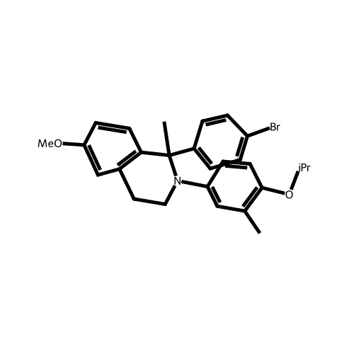 COc1ccc2c(c1)CCN(c1ccc(OC(C)C)c(C)c1)C2(C)c1ccc(Br)cc1